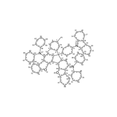 Cc1ccc(C)c(C2(c3ccc(-n4c5ccccc5c5ccccc54)cc3)c3cc(N(c4ccccc4)c4ccccc4)c4c(oc5ccccc54)c3-c3c2cc(N(c2ccccc2)c2ccccc2)c2c3oc3ccccc32)c1